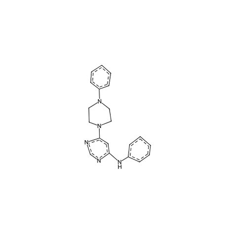 c1ccc(Nc2cc(N3CCN(c4ccccc4)CC3)ncn2)cc1